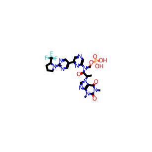 CC(C(=O)N(COP(=O)(O)O)c1cncc(-c2cnc(N3CCCC3C(F)(F)F)nc2)n1)n1cnc2c1c(=O)n(C)c(=O)n2C